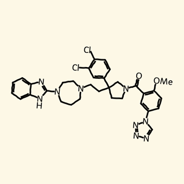 COc1ccc(-n2cnnn2)cc1C(=O)N1CCC(CCN2CCCN(c3nc4ccccc4[nH]3)CC2)(c2ccc(Cl)c(Cl)c2)C1